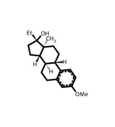 CC[C@]1(O)CC[C@H]2[C@@H]3CCc4cc(OC)ccc4[C@H]3CC[C@@]21C